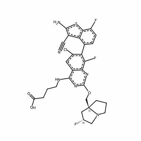 N#Cc1c(N)sc2c(F)ccc(-c3c(Cl)cc4c(NCCCC(=O)O)nc(OC[C@@]56CCCN5C[C@H](F)C6)nc4c3F)c12